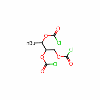 CCCCC(OC(=O)Cl)C(COC(=O)Cl)OC(=O)Cl